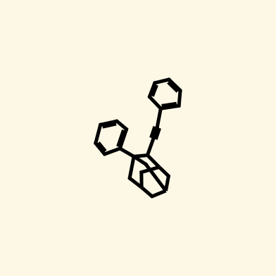 C(#CC1C2CC3CC(C2)CC1(c1ccccc1)C3)c1ccccc1